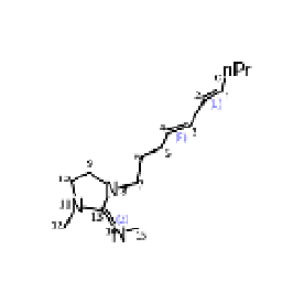 CCC/C=C/C=C/CCCN1CCN(C)/C1=N/C